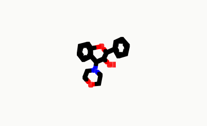 OC1C(c2ccccc2)Oc2ccccc2C1N1CCOCC1